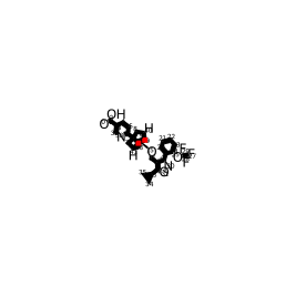 O=C(O)c1ccc(C23C[C@H]4CC2[C@H](C[C@@H](OCc2c(-c5ccccc5OC(F)(F)F)noc2C2CC2)C4)C3)nc1